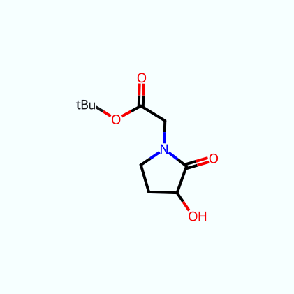 CC(C)(C)OC(=O)CN1CCC(O)C1=O